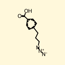 [N-]=[N+]=NCCCc1ccc(C(=O)O)cc1